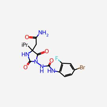 CC(C)C1(CC(N)=O)NC(=O)N(NC(=O)Nc2ccc(Br)cc2F)C1=O